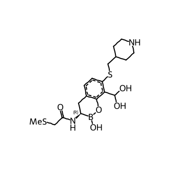 CSCC(=O)N[C@H]1Cc2ccc(SCC3CCNCC3)c(C(O)O)c2OB1O